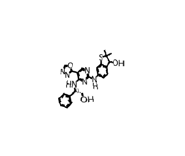 CC1(C)Sc2cc(Nc3ncc(-c4nnco4)c(N[C@H](CO)c4ccccc4)n3)ccc2C1O